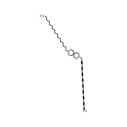 C#CC#CC#CC#CC#CC#CC#CC#CC#COP1OCC2(CO1)COP(OCCCCCCCCCCCCCCCC)OC2